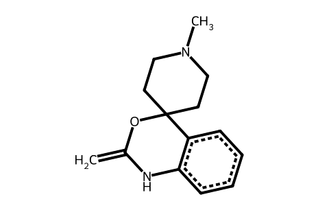 C=C1Nc2ccccc2C2(CCN(C)CC2)O1